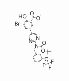 COC(=O)c1cc(-c2cnc(N(Cc3cccc(OC(F)(F)F)c3)C(=O)OC(C)(C)C)nc2)cc(Br)c1O